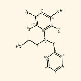 OCCN(Cc1ccccc1)c1c(Cl)c(Cl)nc(Cl)c1Cl